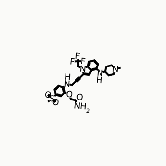 CN1CCC(Nc2cccc3c2cc(C#CCNc2ccc(S(C)(=O)=O)cc2OCC(N)=O)n3CC(F)(F)F)CC1